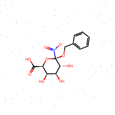 O=C(O)[C@H]1O[C@](OCc2ccccc2)([N+](=O)[O-])[C@H](O)[C@@H](O)[C@H]1O